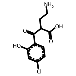 NCCC(C(=O)O)C(=O)c1ccc(Cl)cc1O